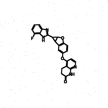 O=C1CCc2c(Oc3ccc4c(c3)C3C(O4)C3c3nc4cccc(F)c4[nH]3)ccnc2N1